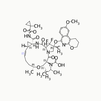 CC[C@@H]1O[C@H](C)CC/C=C\[C@@H]2C[C@@]2(C(=O)NS(=O)(=O)C2(C)CC2)NC(=O)[C@@H]2N(C[C@@](C)(Oc3nc4c(c5cc(OC)ccc35)CCCO4)C2(F)F)C(=O)[C@H]1N(C(=O)O)C(C)C